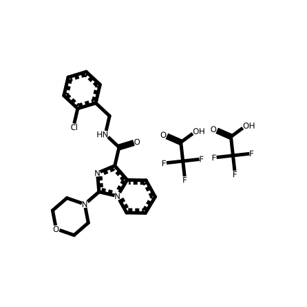 O=C(NCc1ccccc1Cl)c1nc(N2CCOCC2)n2ccccc12.O=C(O)C(F)(F)F.O=C(O)C(F)(F)F